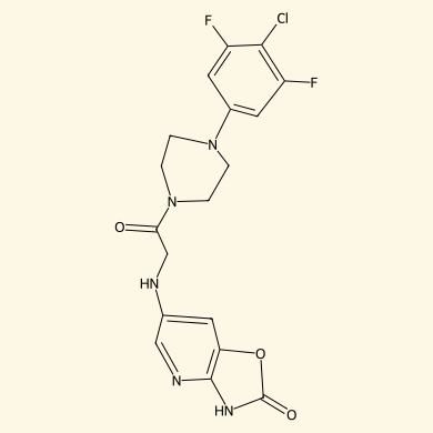 O=C(CNc1cnc2[nH]c(=O)oc2c1)N1CCN(c2cc(F)c(Cl)c(F)c2)CC1